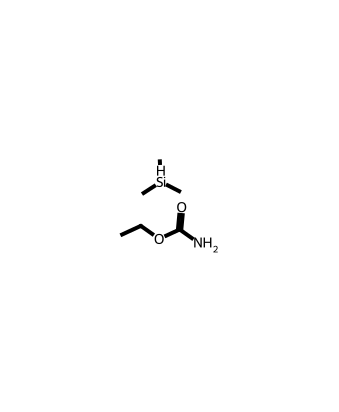 CCOC(N)=O.C[SiH](C)C